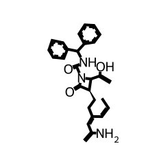 C=C(N)/C=C(\C=C/C)CC[C@H]1C(=O)N(C(=O)NC(c2ccccc2)c2ccccc2)C1C(=C)O